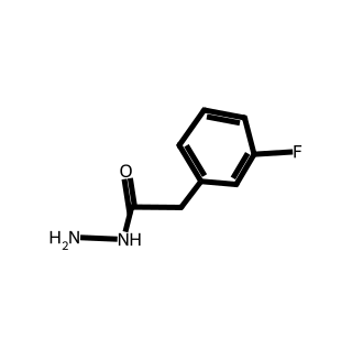 NNC(=O)Cc1cccc(F)c1